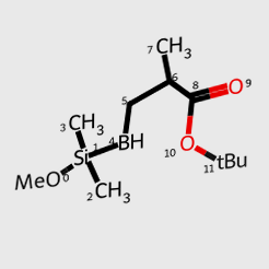 CO[Si](C)(C)BCC(C)C(=O)OC(C)(C)C